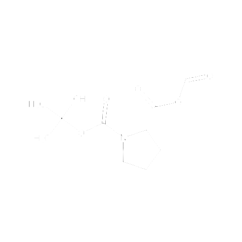 CC(C)(C)OC(=O)N1CCC[C@H]1C(=O)OC=O